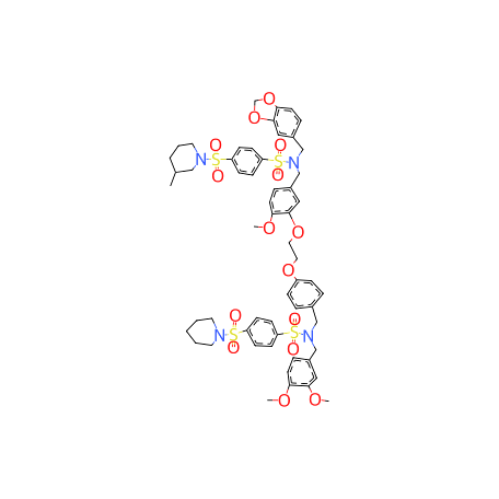 COc1ccc(CN(Cc2ccc(OCCOc3cc(CN(Cc4ccc5c(c4)OCO5)S(=O)(=O)c4ccc(S(=O)(=O)N5CCCC(C)C5)cc4)ccc3OC)cc2)S(=O)(=O)c2ccc(S(=O)(=O)N3CCCCC3)cc2)cc1OC